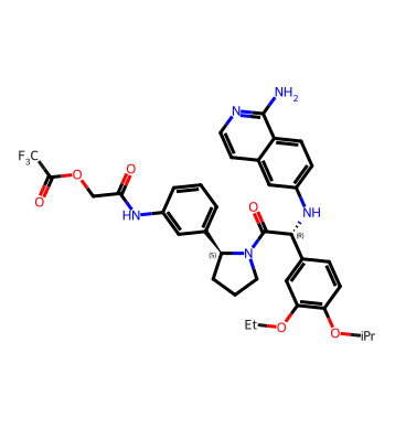 CCOc1cc([C@@H](Nc2ccc3c(N)nccc3c2)C(=O)N2CCC[C@H]2c2cccc(NC(=O)COC(=O)C(F)(F)F)c2)ccc1OC(C)C